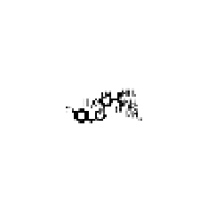 CC(=O)NC(=O)/C(=C\N)c1cc(N2CCC(Cc3ccc(Cl)cc3)C2)c(C)nn1